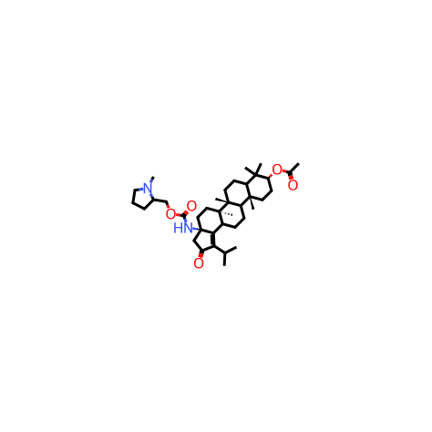 CC(=O)O[C@H]1CC[C@@]2(C)C(CC[C@]3(C)C2CCC2C4=C(C(C)C)C(=O)C[C@]4(NC(=O)OCC4CCCN4C)CC[C@]23C)C1(C)C